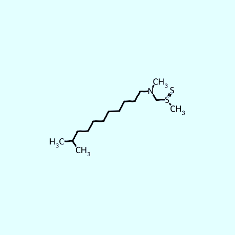 CC(C)CCCCCCCCCN(C)CS(C)=S